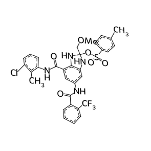 COCC1(OS(=O)(=O)c2ccc(C)cc2)Nc2cc(NC(=O)c3ccccc3C(F)(F)F)cc(C(=O)Nc3cccc(Cl)c3C)c2N1